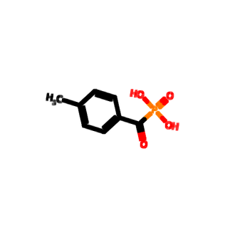 Cc1ccc(C(=O)P(=O)(O)O)cc1